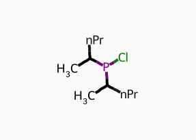 CCCC(C)P(Cl)C(C)CCC